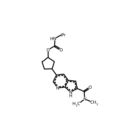 CC(C)NC(=O)OC1CCC(c2cnc3[nH]c(C(=O)N(C)C)cc3c2)C1